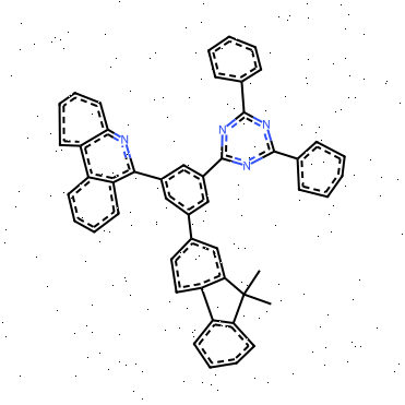 CC1(C)c2ccccc2-c2ccc(-c3cc(-c4nc(-c5ccccc5)nc(-c5ccccc5)n4)cc(-c4nc5ccccc5c5ccccc45)c3)cc21